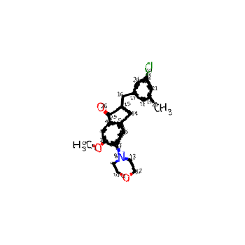 COc1cc2c(cc1N1CCOCC1)CC(Cc1cc(C)cc(Cl)c1)C2=O